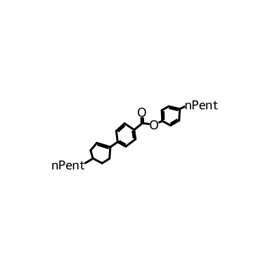 CCCCCc1ccc(OC(=O)c2ccc(C3=CCC(CCCCC)CC3)cc2)cc1